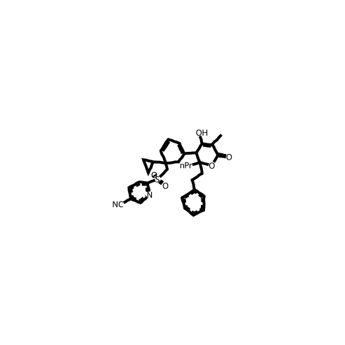 CCCC1(CCc2ccccc2)OC(=O)C(C)=C(O)C1C1=CC=CC(CS(=O)(=O)c2ccc(C#N)cn2)(C2CC2)C1